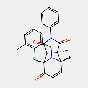 Cc1cccc(CN2[C@@H]3C(=O)C=C[C@H]2[C@@H]2C(=O)N(c4ccccc4)C(=O)C23)c1F